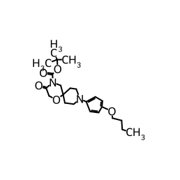 CCCCOc1ccc(N2CCC3(CC2)CN(C(=O)OC(C)(C)C)C(=O)CO3)cc1